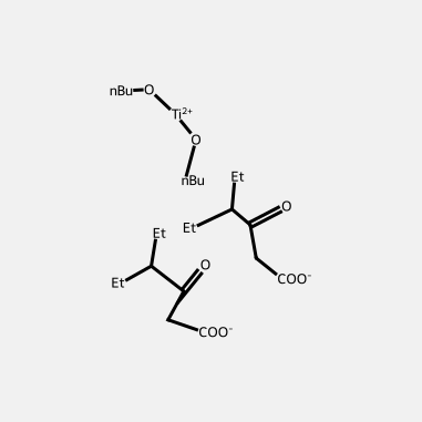 CCC(CC)C(=O)CC(=O)[O-].CCC(CC)C(=O)CC(=O)[O-].CCCC[O][Ti+2][O]CCCC